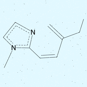 C=C(/C=C\c1nccn1C)CC